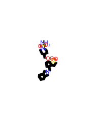 NS(=O)(=O)N1CCC(COc2ccc(CN3Cc4ccccc4C3)c3c2S(=O)(=O)CC3)CC1